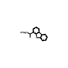 CCCCCCCC(C)c1cccc2c1[N]c1ccccc1-2